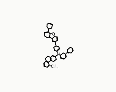 C[C@@H]1CC=CC2=C1C1=C(C=C(N(C3=CCC(C4=CC5C(C=C4)OC4C(C6CC=CCC6)=CCCC45)CC3)C3C=CC=C([C@H]4CC=CCC4)C3)CC1)CC2